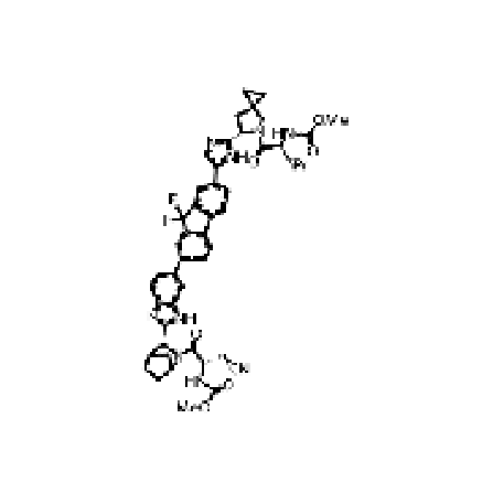 COC(=O)N[C@@H](CC#N)C(=O)N1C2CCC(C2)[C@H]1c1nc2ccc(-c3ccc4c(c3)C(F)(F)c3cc(-c5cnc([C@@H]6CC7(CC7)CN6C(=O)[C@@H](NC(=O)OC)C(C)C)[nH]5)ccc3-4)cc2[nH]1